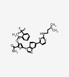 C[C@@H](Oc1cc(-n2cnc3cc(-c4ccnc(NCCN(C)C)n4)ccc32)sc1C(N)=O)c1ccccc1C(F)(F)F